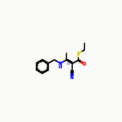 CCSC(=O)/C(C#N)=C(\C)NCc1ccccc1